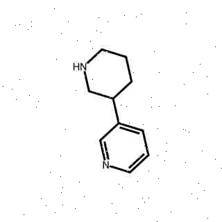 c1cncc(C2CCCNC2)c1